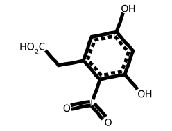 O=C(O)Cc1cc(O)cc(O)c1I(=O)=O